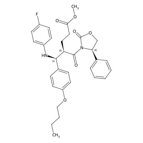 CCCCOc1ccc([C@@H](Nc2ccc(F)cc2)[C@@H](CCC(=O)OC)C(=O)N2C(=O)OC[C@H]2c2ccccc2)cc1